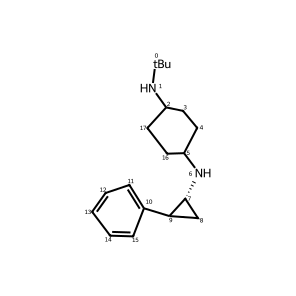 CC(C)(C)NC1CCC(N[C@@H]2CC2c2ccccc2)CC1